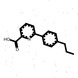 CCCc1ccc(-c2cccc(C(=O)O)n2)cc1